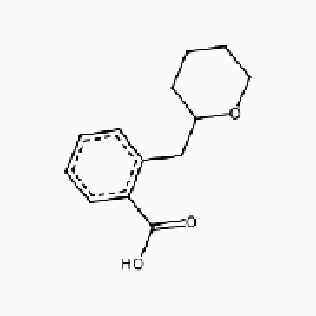 O=C(O)c1ccccc1CC1CCCCO1